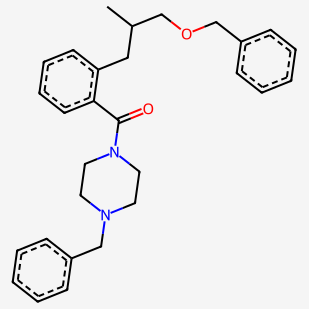 CC(COCc1ccccc1)Cc1ccccc1C(=O)N1CCN(Cc2ccccc2)CC1